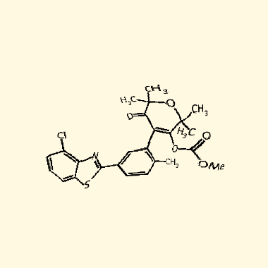 COC(=O)OC1=C(c2cc(-c3nc4c(Cl)cccc4s3)ccc2C)C(=O)C(C)(C)OC1(C)C